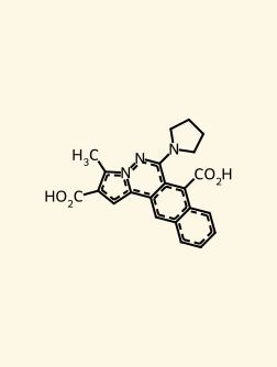 Cc1c(C(=O)O)cc2c3cc4ccccc4c(C(=O)O)c3c(N3CCCC3)nn12